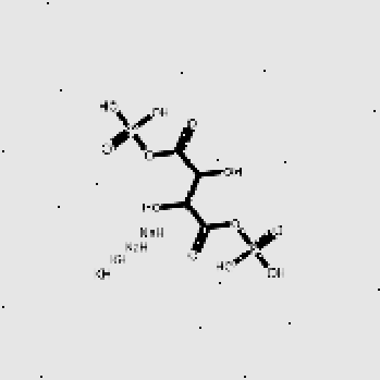 O=C(OP(=O)(O)O)C(O)C(O)C(=O)OP(=O)(O)O.[KH].[KH].[NaH].[NaH]